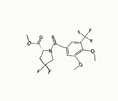 COC(=O)[C@H]1CC(F)(F)CN1C(=S)c1cc(OC)c(OC)c(C(F)(F)F)c1